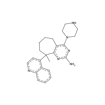 CC1(c2ccnc3ccccc23)CCCCc2c(N3CCNCC3)nc(N)nc21